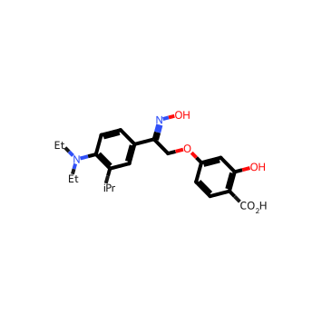 CCN(CC)c1ccc(C(COc2ccc(C(=O)O)c(O)c2)=NO)cc1C(C)C